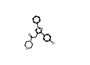 O=C(Cc1cn(-c2ccccc2)nc1-c1ccc(Cl)cc1)N1CCOCC1